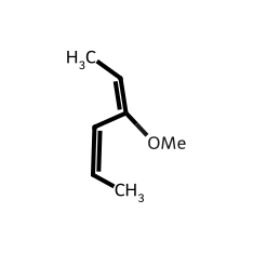 C/C=C\C(=C/C)OC